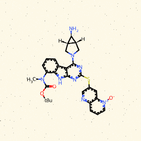 CN(C(=O)OC(C)(C)C)c1cccc2c1[nH]c1nc(Sc3cnc4ccc[n+]([O-])c4c3)nc(N3C[C@@H]4[C@@H](N)[C@@H]4C3)c12